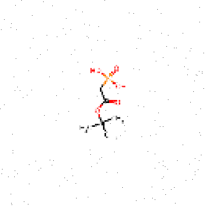 C[Si](C)(C)OC(=O)CP(=O)(O)O